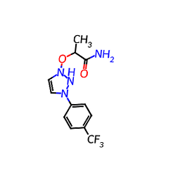 CC(ON1C=CN(c2ccc(C(F)(F)F)cc2)N1)C(N)=O